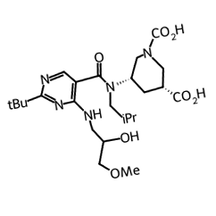 COCC(O)CNc1nc(C(C)(C)C)ncc1C(=O)N(CC(C)C)[C@H]1C[C@@H](C(=O)O)CN(C(=O)O)C1